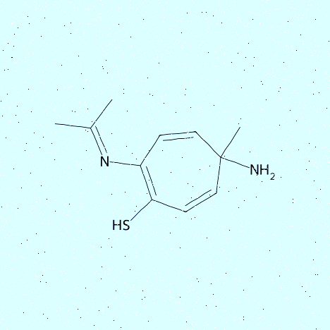 CC(C)=NC1=C(S)C=CC(C)(N)C=C1